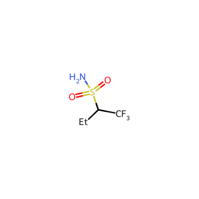 CCC(C(F)(F)F)S(N)(=O)=O